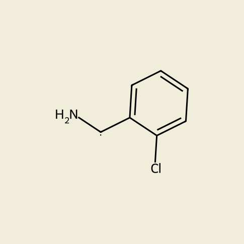 N[CH]c1ccccc1Cl